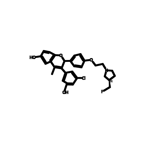 CC1=C(c2cc(O)cc(Cl)c2)C(c2ccc(OCCN3CC[C@@H](CF)C3)cc2)Oc2ccc(O)cc21